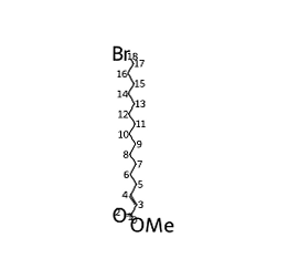 COC(=O)C=CCCCCCCCCCCCCCBr